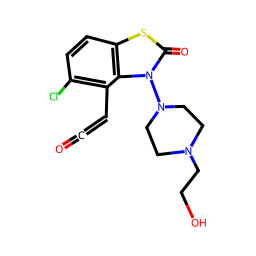 O=C=Cc1c(Cl)ccc2sc(=O)n(N3CCN(CCO)CC3)c12